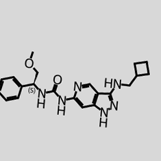 COC[C@@H](NC(=O)Nc1cc2[nH]nc(NCC3CCC3)c2cn1)c1ccccc1